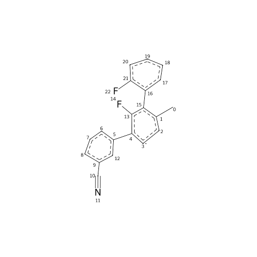 Cc1c[c]c(-c2cccc(C#N)c2)c(F)c1-c1ccccc1F